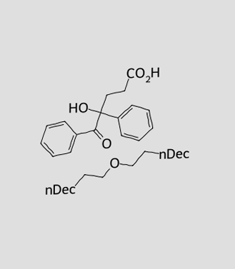 CCCCCCCCCCCCOCCCCCCCCCCCC.O=C(O)CCC(O)(C(=O)c1ccccc1)c1ccccc1